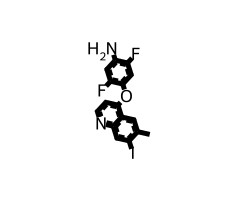 Cc1cc2c(Oc3cc(F)c(N)cc3F)ccnc2cc1I